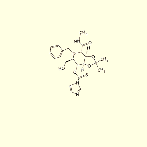 CNC(=O)[C@@H]1[C@H]2OC(C)(C)O[C@H]2[C@H](OC(=S)n2ccnc2)[C@@H](CO)N1Cc1ccccc1